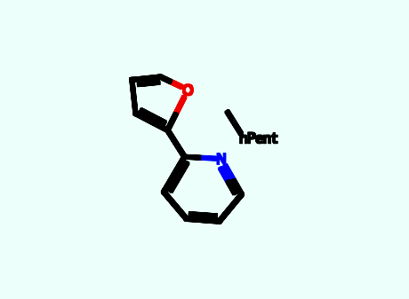 CCCCCC.c1ccc(-c2ccco2)nc1